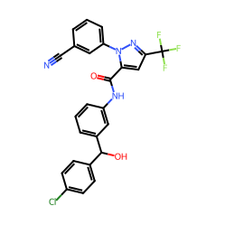 N#Cc1cccc(-n2nc(C(F)(F)F)cc2C(=O)Nc2cccc(C(O)c3ccc(Cl)cc3)c2)c1